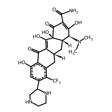 CN(C)[C@@H]1C(O)=C(C(N)=O)C(=O)[C@@]2(O)C(O)=C3C(=O)c4c(O)cc(C5CNCCN5)c(C(F)(F)F)c4C[C@H]3C[C@@H]12